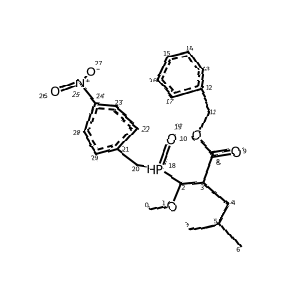 COC(C(CC(C)C)C(=O)OCc1ccccc1)[PH](=O)Cc1ccc([N+](=O)[O-])cc1